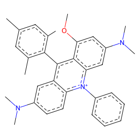 COc1cc(N(C)C)cc2c1c(-c1c(C)cc(C)cc1C)c1cc(N(C)C)ccc1[n+]2-c1ccccc1